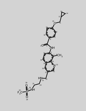 Cc1c(NC(=O)c2ccc(OCC3CC3)cc2)ccc2cc(CNCCNS(=O)(=O)C(F)(F)F)cnc12